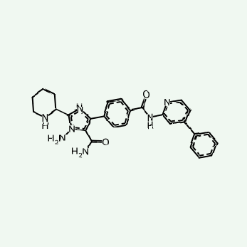 NC(=O)c1c(-c2ccc(C(=O)Nc3cc(-c4ccccc4)ccn3)cc2)nc(C2CCCCN2)n1N